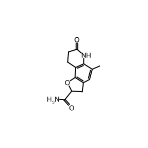 Cc1cc2c(c3c1NC(=O)CC3)OC(C(N)=O)C2